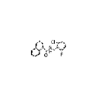 O=C(NCc1c(F)cccc1Cl)c1cccc2ccccc12